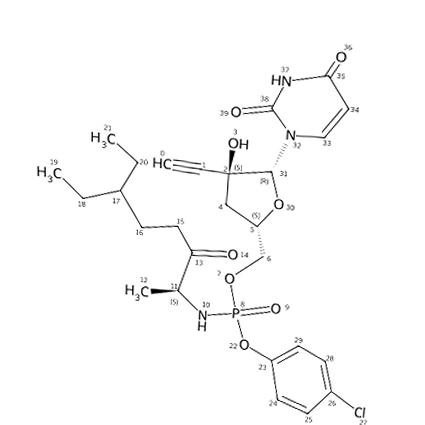 C#C[C@@]1(O)C[C@@H](COP(=O)(N[C@@H](C)C(=O)CCC(CC)CC)Oc2ccc(Cl)cc2)O[C@H]1n1ccc(=O)[nH]c1=O